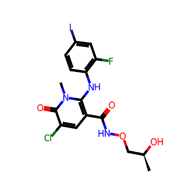 C[C@H](O)CONC(=O)c1cc(Cl)c(=O)n(C)c1Nc1ccc(I)cc1F